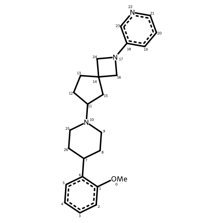 COc1ccccc1C1CCN(C2CCC3(C2)CN(c2cccnc2)C3)CC1